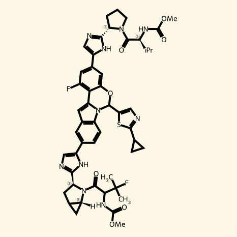 COC(=O)NC(C(=O)N1[C@@H]2CC2C[C@H]1c1ncc(-c2ccc3c(c2)cc2n3C(c3cnc(C4CC4)s3)Oc3cc(-c4cnc([C@@H]5CCCN5C(=O)[C@@H](NC(=O)OC)C(C)C)[nH]4)cc(F)c3-2)[nH]1)C(C)(C)F